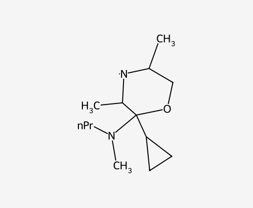 CCCN(C)C1(C2CC2)OCC(C)[N]C1C